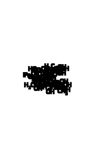 CC(=O)NC1C(O[C@@H]2OC(C)CC(O)(CO)C2O)[C@H](O[C@H](O)/C(O[C@@H]2OC(C)[C@@H](O)C(O)C2O)=C(/O)[C@@H](O)CCO)C(CO)O[C@H]1O/C(=C(\O)[C@@H](O)O[C@@H]1C(CO)O[C@@H](OC(C)C)C(NC(C)=O)C1O[C@@H]1OC(C)[C@@H](O)C(O)C1O)[C@@H](O)CCO